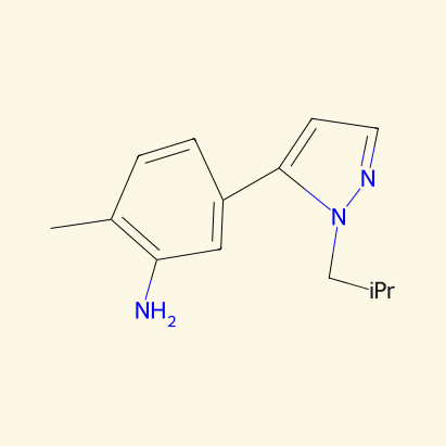 Cc1ccc(-c2ccnn2CC(C)C)cc1N